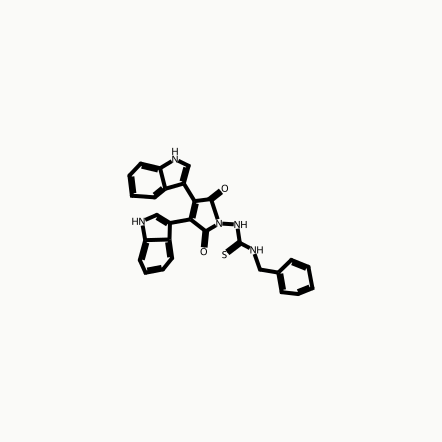 O=C1C(c2c[nH]c3ccccc23)=C(c2c[nH]c3ccccc23)C(=O)N1NC(=S)NCc1ccccc1